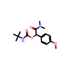 COc1ccc(C(OC(=O)NC(C)(C)C)C(=O)N(C)C)cc1